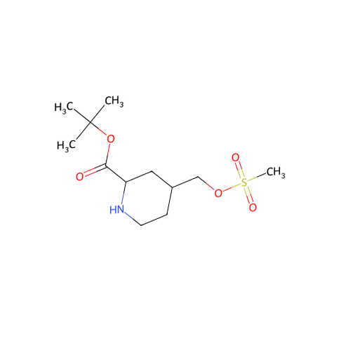 CC(C)(C)OC(=O)C1CC(COS(C)(=O)=O)CCN1